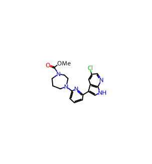 COC(=O)N1CCCN(c2cccc(-c3c[nH]c4ncc(Cl)cc34)n2)CC1